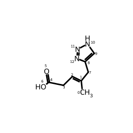 CC(=CCC(=O)O)Cc1c[nH]nn1